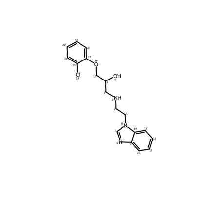 OC(CNCCn1cnc2ccccc21)COc1ccccc1Cl